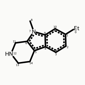 CCc1ccc2c3c(n(C)c2c1)CNCC3